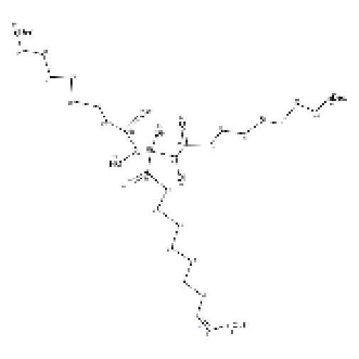 CCCCCCCC/C=C\CCCCCCCC(=O)C(O)(C(O)C(=O)CCCCCCCCCCCCCCCCC)C(O)C(=O)CCCCCCCCCCCCCCCCC